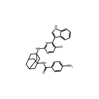 Nc1ccc(C(=O)NC23CC4CC(C2)CC(Nc2ncc(Cl)c(-c5c[nH]c6ccccc56)n2)(C4)C3)cc1